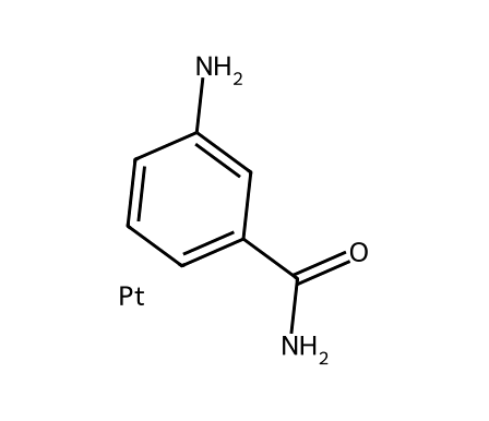 NC(=O)c1cccc(N)c1.[Pt]